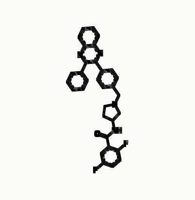 O=C(NC1CCN(Cc2ccc(-c3nc4ccccc4nc3-c3ccccc3)cc2)C1)c1cc(F)ccc1F